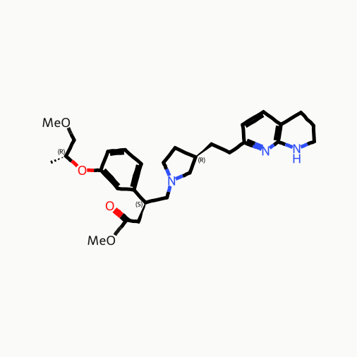 COC[C@@H](C)Oc1cccc([C@H](CC(=O)OC)CN2CC[C@@H](CCc3ccc4c(n3)NCCC4)C2)c1